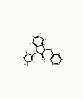 O=c1n(Cc2ccccc2)c2cncnc2n1-c1c[nH]nn1